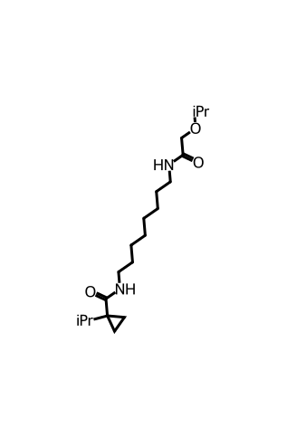 CC(C)OCC(=O)NCCCCCCCCNC(=O)C1(C(C)C)CC1